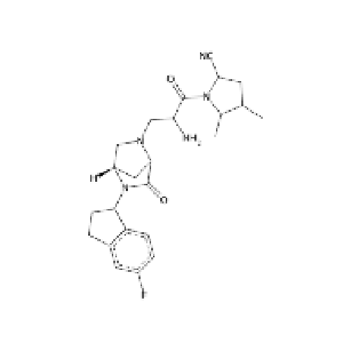 CC1CC(C#N)N(C(=O)C(N)CN2C[C@@H]3CC2C(=O)N3C2CCc3cc(F)ccc32)C1C